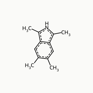 Cc1cc2c(C)[nH]c(C)c2cc1C